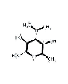 CC1O[C@H](C)[C@@H](O)[C@H](N(C)C)[C@H]1O